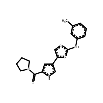 Cc1cccc(Nc2nc(-c3c[nH]c(C(=O)N4CCCC4)c3)cs2)c1